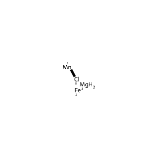 [Cl][Mn].[Fe].[MgH2]